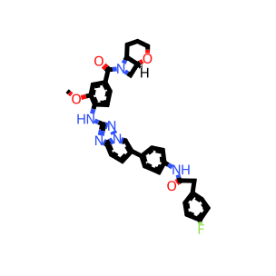 COc1cc(C(=O)N2C[C@H]3OCCCC32)ccc1Nc1nc2ccc(-c3ccc(NC(=O)Cc4ccc(F)cc4)cc3)cn2n1